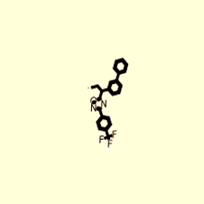 [CH2]CC(c1cccc(-c2ccccc2)c1)c1nc(-c2ccc(C(F)(F)F)cc2)no1